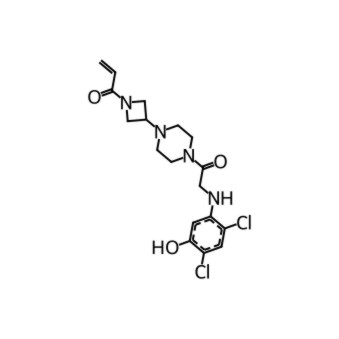 C=CC(=O)N1CC(N2CCN(C(=O)CNc3cc(O)c(Cl)cc3Cl)CC2)C1